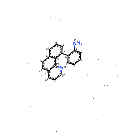 Nc1ccccc1-c1cccc2ccc3cccnc3c12